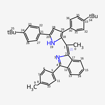 C/C(=C1/N=C(c2ccc(C)cc2)c2ccccc21)c1[nH]c(-c2ccc(C(C)(C)C)cc2)cc1-c1ccc(C(C)(C)C)cc1